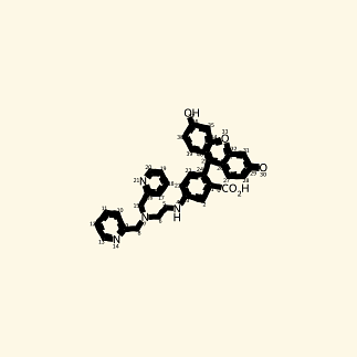 O=C(O)c1cc(NCCN(Cc2ccccn2)Cc2ccccn2)ccc1-c1c2ccc(=O)cc-2oc2cc(O)ccc12